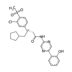 CS(=O)(=O)c1ccc([C@H](CC(=O)Nc2cnc(-c3ccccc3O)cn2)CC2CCCC2)cc1Cl